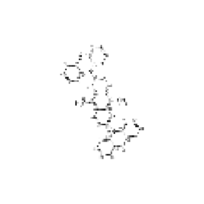 Cc1c2ccc(N3c4ccccc4Oc4ccccc43)cc2c(C)c2ccc(N3c4ccccc4Oc4ccccc43)cc12